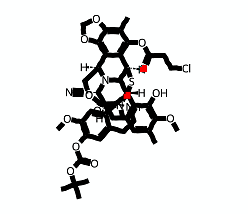 COc1cc2c(cc1OC(=O)OC(C)(C)C)CCN[C@]21CS[C@@H]2c3c(OC(=O)CCCl)c(C)c4c(c3[C@H](COC1=O)N1C2[C@@H]2c3c(cc(C)c(OC)c3O)C[C@@H]([C@@H]1C#N)N2C)OCO4